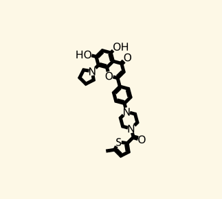 Cc1ccc(C(=O)N2CCN(c3ccc(-c4cc(=O)c5c(O)cc(O)c(N6CCCC6)c5o4)cc3)CC2)s1